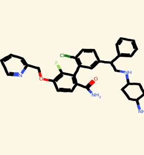 NC(=O)c1ccc(OCc2ccccn2)c(F)c1-c1cc(C(CNC2CCC(N)CC2)c2ccccc2)ccc1Cl